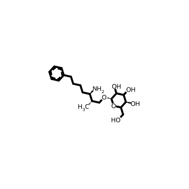 C[C@@H](CO[C@H]1OC(CO)[C@H](O)C(O)C1O)[C@H](N)CCCCc1ccccc1